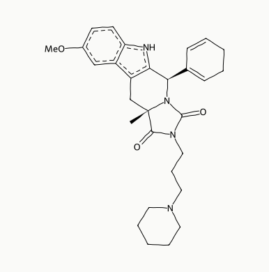 COc1ccc2[nH]c3c(c2c1)C[C@@]1(C)C(=O)N(CCCN2CCCCC2)C(=O)N1[C@@H]3C1=CCCC=C1